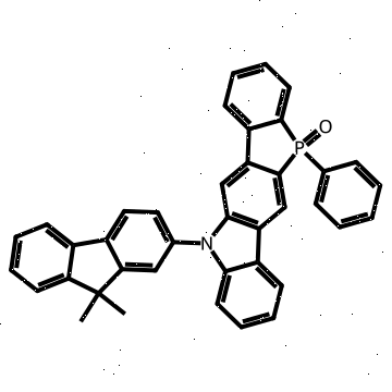 CC1(C)c2ccccc2-c2ccc(-n3c4ccccc4c4cc5c(cc43)-c3ccccc3P5(=O)c3ccccc3)cc21